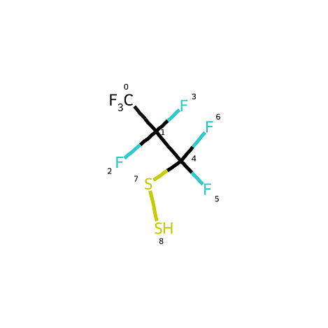 FC(F)(F)C(F)(F)C(F)(F)SS